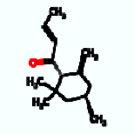 C=C1C[C@@H](C)CC(C)(C)[C@@H]1C(=O)C=CC